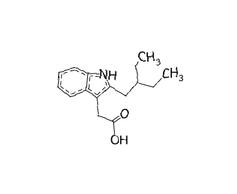 CCC(CC)Cc1[nH]c2ccccc2c1CC(=O)O